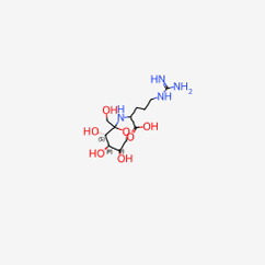 N=C(N)NCCCC(NC1(CO)OC[C@@H](O)[C@@H](O)[C@@H]1O)C(=O)O